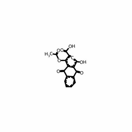 CC(=O)Oc1c(C(=O)O)cc(O)c2c1C(=O)c1ccccc1C2=O